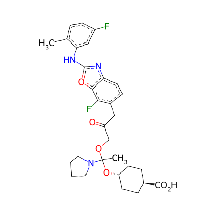 Cc1ccc(F)cc1Nc1nc2ccc(CC(=O)COC(C)(O[C@H]3CC[C@H](C(=O)O)CC3)N3CCCC3)c(F)c2o1